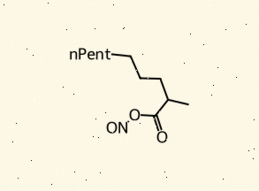 CCCCCCCCC(C)C(=O)ON=O